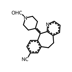 N#Cc1ccc2c(c1)CCc1cccnc1C2=C1CCN(C=O)CC1